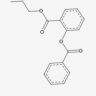 CCCOC(=O)c1ccccc1OC(=O)c1ccccc1